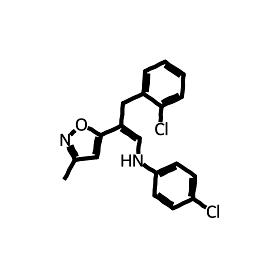 Cc1cc(C(=CNc2ccc(Cl)cc2)Cc2ccccc2Cl)on1